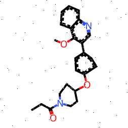 CCC(=O)N1CCC(Oc2ccc(-c3cnc4ccccc4c3OC)cc2)CC1